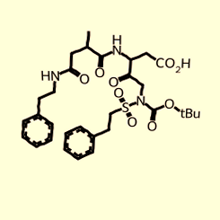 CC(CC(=O)NCCc1ccccc1)C(=O)NC(CC(=O)O)C(=O)CN(C(=O)OC(C)(C)C)S(=O)(=O)CCc1ccccc1